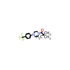 CC(C)(C)C(=O)N1CCN(c2ccc(C(F)(F)F)cc2)CC1